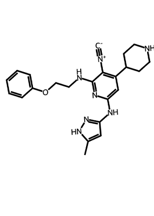 [C-]#[N+]c1c(C2CCNCC2)cc(Nc2cc(C)[nH]n2)nc1NCCOc1ccccc1